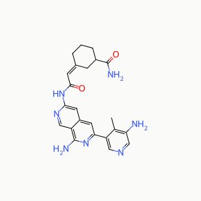 Cc1c(N)cncc1-c1cc2cc(NC(=O)/C=C3/CCCC(C(N)=O)C3)ncc2c(N)n1